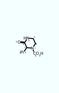 CC(C)C1C(=O)NCCN1C(=O)O